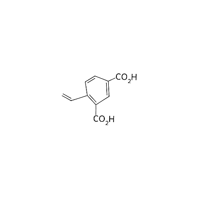 C=Cc1ccc(C(=O)O)cc1C(=O)O